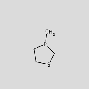 CP1CCSC1